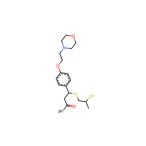 CC(S)CSC(CC(=O)C(C)C)c1ccc(OCCN2CCOCC2)cc1